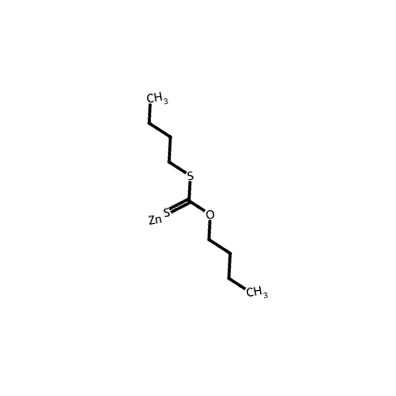 CCCCOC(=S)SCCCC.[Zn]